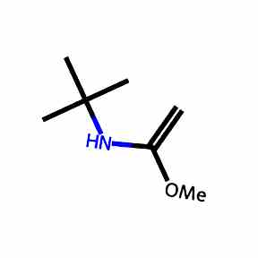 C=C(NC(C)(C)C)OC